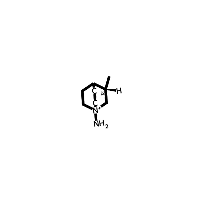 C[C@@H]1C[N+]2(N)CCC1CC2